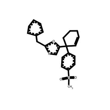 CS(=O)(=O)c1ccc(C2(c3cnc(Cc4ccccc4)o3)C=CCCC2)cc1